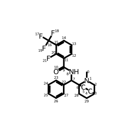 CN1CC2CCC1(C(NC(=O)c1cccc(C(F)(F)F)c1F)c1ccccc1)CC2